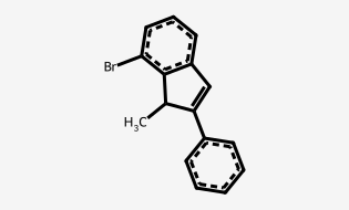 CC1C(c2ccccc2)=Cc2cccc(Br)c21